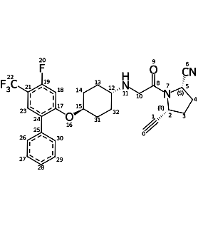 C#C[C@H]1CC[C@@H](C#N)N1C(=O)CN[C@H]1CC[C@H](Oc2cc(F)c(C(F)(F)F)cc2-c2ccccc2)CC1